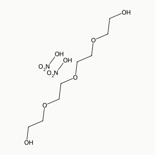 O=[N+]([O-])O.O=[N+]([O-])O.OCCOCCOCCOCCO